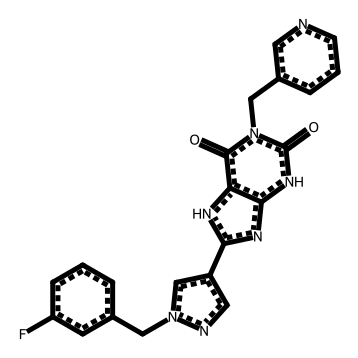 O=c1[nH]c2nc(-c3cnn(Cc4cccc(F)c4)c3)[nH]c2c(=O)n1Cc1cccnc1